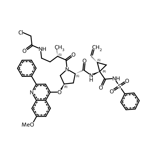 C=C[C@@H]1C[C@]1(NC(=O)[C@@H]1C[C@@H](Oc2cc(-c3ccccc3)nc3cc(OC)ccc23)CN1C(=O)[C@@H](C)CCNC(=O)CCl)C(=O)NS(=O)(=O)c1ccccc1